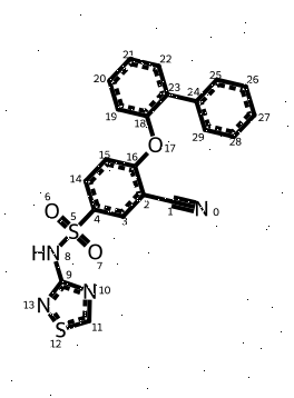 N#Cc1cc(S(=O)(=O)Nc2ncsn2)ccc1Oc1ccccc1-c1ccccc1